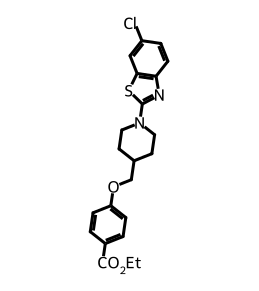 CCOC(=O)c1ccc(OCC2CCN(c3nc4ccc(Cl)cc4s3)CC2)cc1